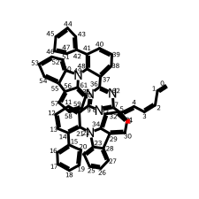 C=C/C=C\C=C(/C)c1nc(-c2cccc(-c3ccccc3)c2-n2c3ccccc3c3ccccc32)nc(-c2cccc(-c3ccccc3)c2-n2c3ccccc3c3ccccc32)n1